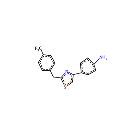 Nc1ccc(-c2csc(Cc3ccc(C(F)(F)F)cc3)n2)cc1